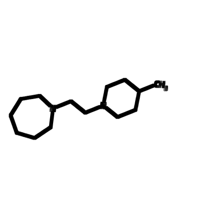 CC1CCN(CCN2CCCCCC2)CC1